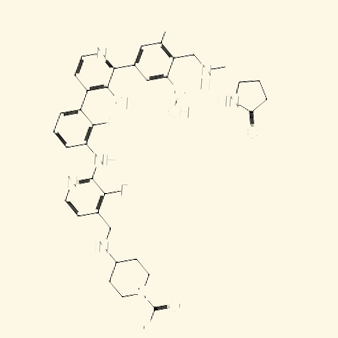 COc1cc(-c2nccc(-c3cccc(Nc4nccc(CNC5CCN(C(C)=O)CC5)c4F)c3Cl)c2Cl)cc(F)c1CNC[C@@H]1CCC(=O)N1